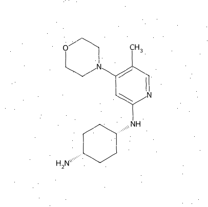 Cc1cnc(N[C@H]2CC[C@@H](N)CC2)cc1N1CCOCC1